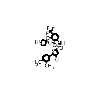 Cc1ccc(-c2sc(S(=O)(=O)Nc3ccc(C(F)(F)F)c(O[C@]4(C)CCNC4)c3)cc2Cl)cc1C